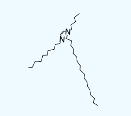 CCCCCCCCCCCCCCCCCC1N(CCCCC)C=CN1CCCCCCCCCC